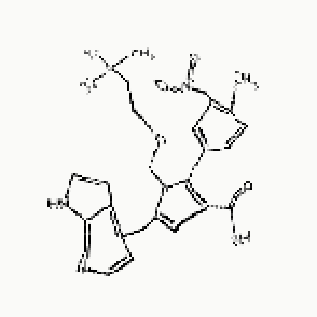 Cc1ccc(-c2c(C(=O)O)cc(-c3ccnc4[nH]ccc34)n2COCC[Si](C)(C)C)cc1[N+](=O)[O-]